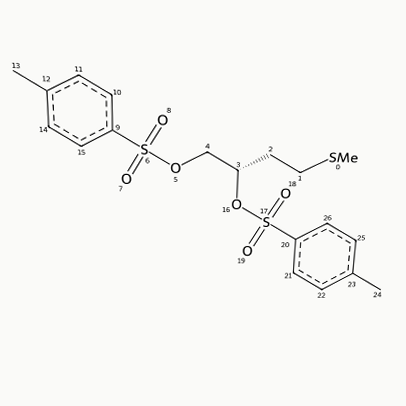 CSCC[C@@H](COS(=O)(=O)c1ccc(C)cc1)OS(=O)(=O)c1ccc(C)cc1